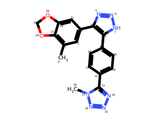 Cc1cc(-c2nn[nH]c2-c2ccc(-c3nnnn3C)cc2)cc2c1OCO2